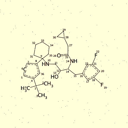 CC(C)(C)c1cccc(C2(NCC(O)C(Cc3cc(F)cc(F)c3)NC(=O)CC3CC3)CCCCC2)c1